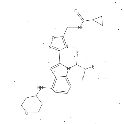 O=C(NCc1nc(-c2cc3c(NC4CCOCC4)cccc3n2C(F)C(F)F)no1)C1CC1